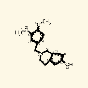 COc1ccc(CN2CCc3cc(O)ccc3C2)cc1OC